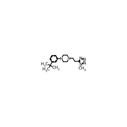 Cn1nnnc1CCN1CCN(c2cccc(C(C)(C)C)c2)CC1